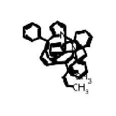 C/C=C\C(=C/C)c1c2c3c(c(-c4ccccc4)c4ccc5c(-c6ccccc6)c6c3c(c(-c3ccccc3)c3ccc1n3Cn45)C=C6)C=C2